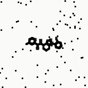 Cc1ccnc(C(=O)NC2CCCc3c2cnn3-c2ccccc2F)c1